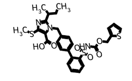 CCC(C)c1nc(SC)c(C(=O)O)n1Cc1ccc(-c2ccccc2S(=O)(=O)NC(=O)OCc2cccs2)cc1